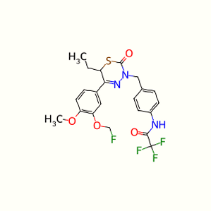 CCC1SC(=O)N(Cc2ccc(NC(=O)C(F)(F)F)cc2)N=C1c1ccc(OC)c(OCF)c1